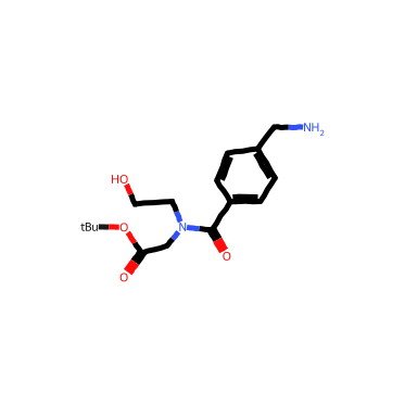 CC(C)(C)OC(=O)CN(CCO)C(=O)c1ccc(CN)cc1